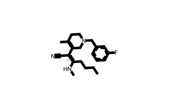 CCCC/C(NC)=C(/C#N)C1=C(C)CCN(Cc2cccc(F)c2)C1